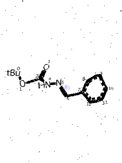 CC(C)(C)OC(=O)N/N=C/c1ccccc1